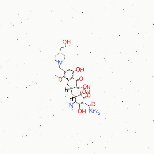 COc1c(CN2CCC(CCO)CC2)cc(O)c2c1C[C@H]1C[C@H]3[C@H](N(C)C)C(O)=C(C(N)=O)C(=O)[C@@]3(O)C(O)=C1C2=O